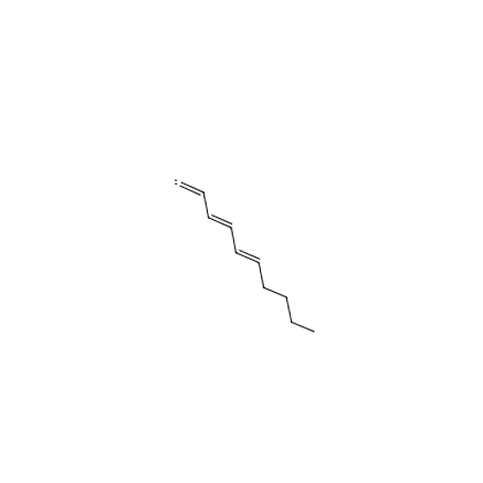 [C]=CC=CC=CCCCC